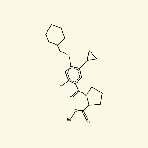 CC(C)(C)OC(=O)C1CCCN1C(=O)c1cc(C2CC2)c(OCC2CCCCC2)cc1F